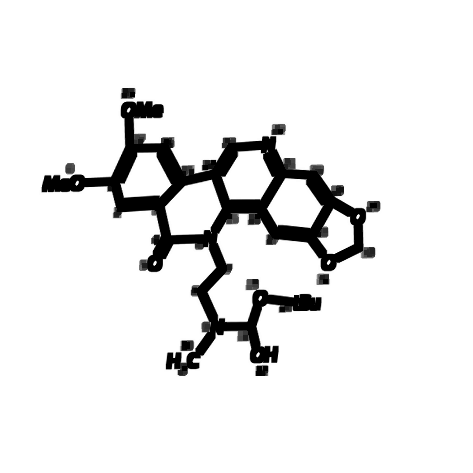 COc1cc2c(=O)n(CCN(C)C(O)OC(C)(C)C)c3c4cc5c(cc4ncc3c2cc1OC)OCO5